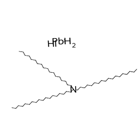 CCCCCCCCCCCCCCCCCCN(CCCCCCCCCCCCCCCCCC)CCCCCCCCCCCCCCCCCC.I.[PbH2]